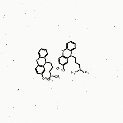 CN(C)CCCN1c2ccccc2Sc2ccc(Cl)cc21.COc1ccc2c(c1)N(C[C@H](C)CN(C)C)c1ccccc1S2